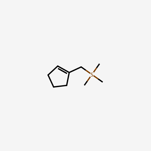 CS(C)(C)CC1=CCCC1